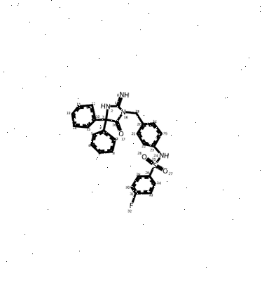 N=C1NC(c2ccccc2)(c2ccccc2)C(=O)N1Cc1ccc(NS(=O)(=O)c2ccc(F)cc2)cc1